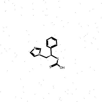 OC(=S)S[C@@H](Cn1ccnc1)c1ccccc1